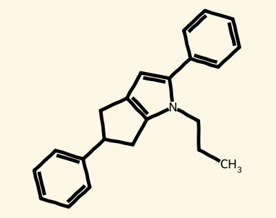 CCCn1c(-c2ccccc2)cc2c1CC(c1ccccc1)C2